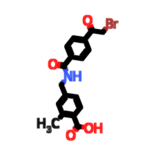 Cc1cc(CNC(=O)c2ccc(C(=O)CBr)cc2)ccc1C(=O)O